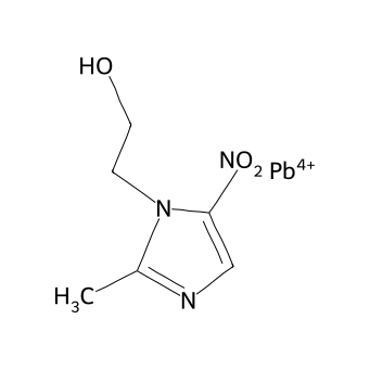 Cc1ncc([N+](=O)[O-])n1CCO.[Pb+4]